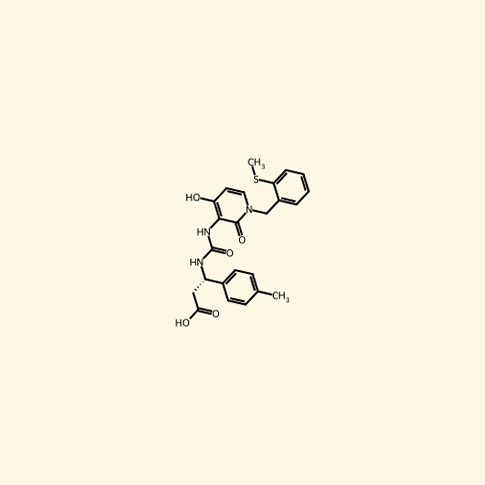 CSc1ccccc1Cn1ccc(O)c(NC(=O)N[C@@H](CC(=O)O)c2ccc(C)cc2)c1=O